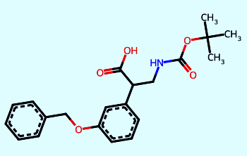 CC(C)(C)OC(=O)NCC(C(=O)O)c1cccc(OCc2ccccc2)c1